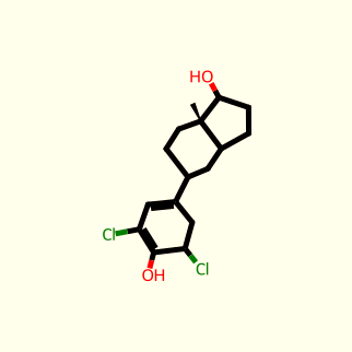 C[C@]12CCC(C3=CC(Cl)=C(O)C(Cl)C3)CC1CCC2O